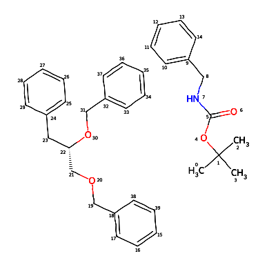 CC(C)(C)OC(=O)NCc1ccccc1.c1ccc(COC[C@H](Cc2ccccc2)OCc2ccccc2)cc1